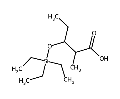 CCC(O[Si](CC)(CC)CC)C(C)C(=O)O